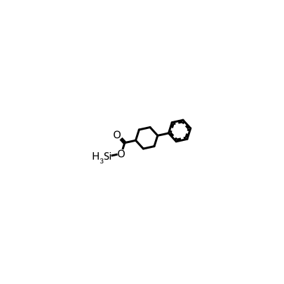 O=C(O[SiH3])C1CCC(c2ccccc2)CC1